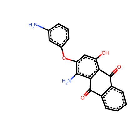 Nc1cccc(Oc2cc(O)c3c(c2N)C(=O)c2ccccc2C3=O)c1